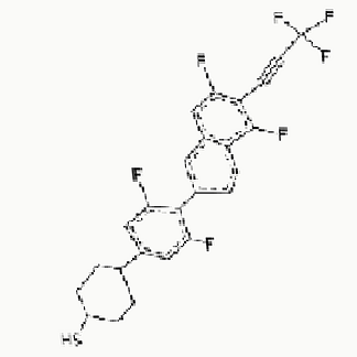 Fc1cc2cc(-c3c(F)cc(C4CCC(S)CC4)cc3F)ccc2c(F)c1C#CC(F)(F)F